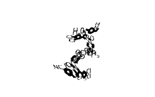 CN(Cc1ccc(C#N)c(F)c1)C1CN(C(=O)N2CCN(S(C)(=O)=O)CC2)CC1c1ccc(Cl)c(Cl)c1.CN(Cc1ccc2cc[nH]c2c1)C1CN(C(=O)N2CCN(S(C)(=O)=O)CC2)CC1c1ccc(Cl)c(Cl)c1